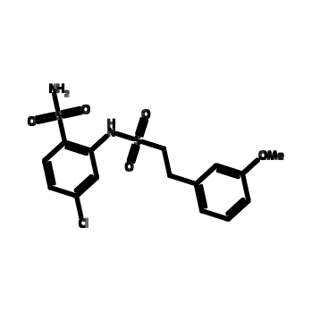 COc1cccc(CCS(=O)(=O)Nc2cc(Cl)ccc2S(N)(=O)=O)c1